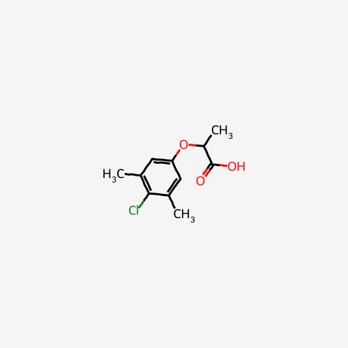 Cc1cc(OC(C)C(=O)O)cc(C)c1Cl